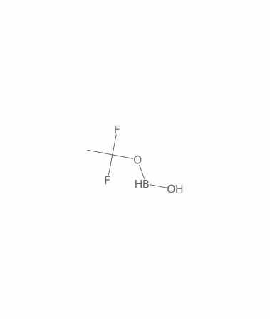 CC(F)(F)OBO